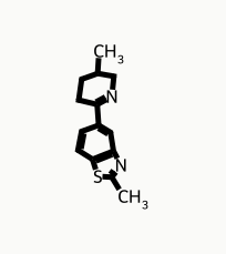 Cc1nc2cc(C3=NCC(C)CC3)ccc2s1